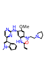 C=CC(=O)Nc1cc(Nc2nccc(-c3cn(C)c4ccccc34)n2)c(OC)cc1N(C)CCN1CCCC1